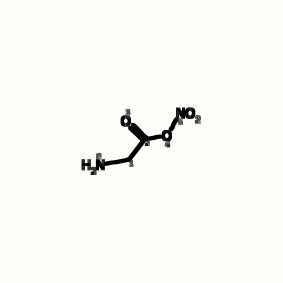 NCC(=O)O[N+](=O)[O-]